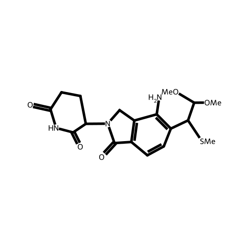 COC(OC)C(SC)c1ccc2c(c1N)CN(C1CCC(=O)NC1=O)C2=O